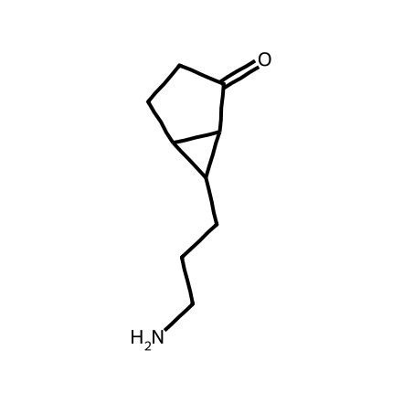 NCCCC1C2CCC(=O)C12